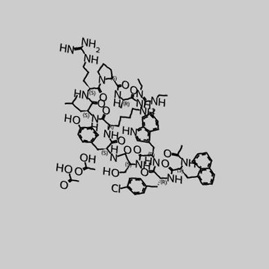 CC(=O)O.CC(=O)O.CCN=C(NCC)NCCCC[C@@H](NC(=O)[C@H](Cc1ccc(O)cc1)NC(=O)[C@H](CO)NC(=O)[C@@H](Cc1c[nH]c2ccccc12)NC(=O)[C@@H](Cc1ccc(Cl)cc1)NC(=O)[C@H](Cc1cccc2ccccc12)NC(C)=O)C(=O)N[C@@H](CC(C)C)C(=O)N[C@@H](CCCNC(=N)N)C(=O)N1CCC[C@H]1C(=O)N[C@H](C)C(N)=O